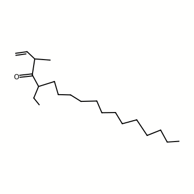 C=CC(C)C(=O)C(CC)CCCCCCCCCCCCC